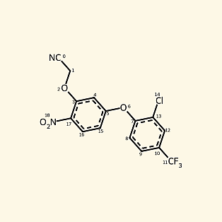 N#CCOc1cc(Oc2ccc(C(F)(F)F)cc2Cl)ccc1[N+](=O)[O-]